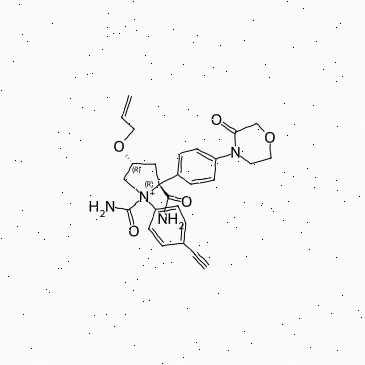 C#Cc1ccc([N+]2(C(N)=O)C[C@H](OCC=C)C[C@]2(C(N)=O)c2ccc(N3CCOCC3=O)cc2)cc1